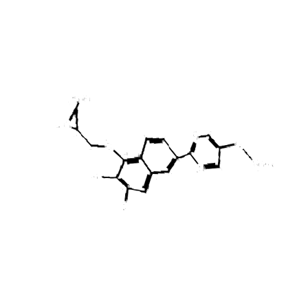 CCCCCCOc1cnc(-c2ccc3c(OCC4OC4CCC)c(F)c(F)cc3c2)nc1